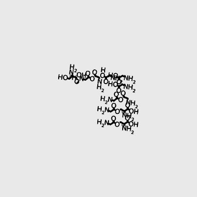 NCC(=O)O.NCC(=O)O.NCC(=O)O.NCC(=O)OC(=O)CN.NCC(=O)OC(=O)CN.NCC(=O)OC[C@H](N)C(=O)O.NCC(=O)OC[C@H](N)C(=O)O.N[C@@H](CO)C(=O)O